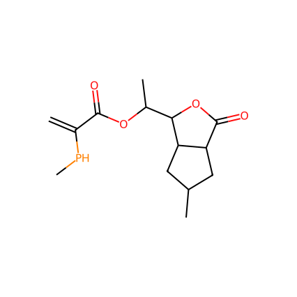 C=C(PC)C(=O)OC(C)C1OC(=O)C2CC(C)CC21